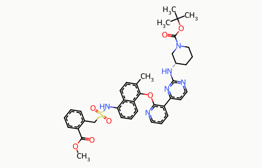 COC(=O)c1ccccc1CS(=O)(=O)Nc1cccc2c(Oc3ncccc3-c3ccnc(N[C@H]4CCCN(C(=O)OC(C)(C)C)C4)n3)c(C)ccc12